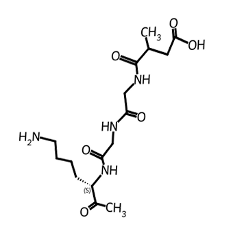 CC(=O)[C@H](CCCCN)NC(=O)CNC(=O)CNC(=O)C(C)CC(=O)O